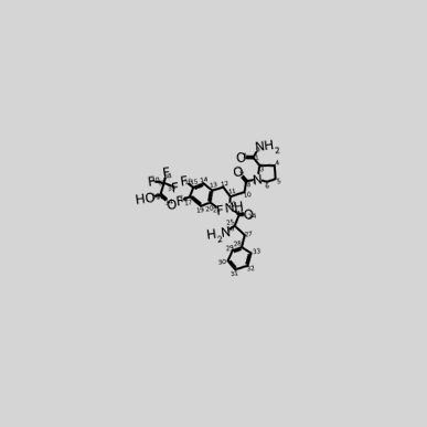 NC(=O)C1CCCN1C(=O)CC(Cc1cc(F)c(F)cc1F)NC(=O)C(N)Cc1ccccc1.O=C(O)C(F)(F)F